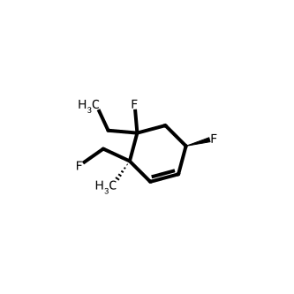 CCC1(F)C[C@@H](F)C=C[C@@]1(C)CF